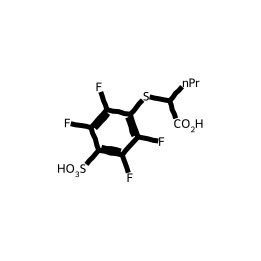 CCCC(Sc1c(F)c(F)c(S(=O)(=O)O)c(F)c1F)C(=O)O